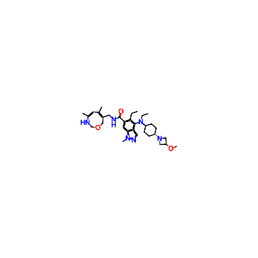 CCc1c(C(=O)NC/C2=C(C)/C=C(/C)NCOC2)cc2c(cnn2C)c1N(CC)[C@H]1CC[C@H](N2CC(OC)C2)CC1